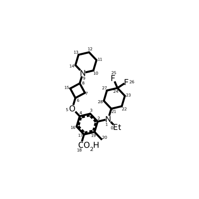 CCN(c1cc(OC2CC(N3CCCCC3)C2)cc(C(=O)O)c1C)C1CCC(F)(F)CC1